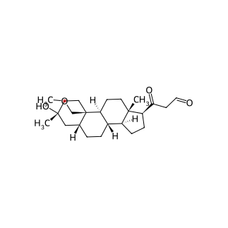 COC[C@]12CC[C@@](C)(O)C[C@H]1CC[C@H]1[C@@H]3CC[C@H](C(=O)CC=O)[C@@]3(C)CC[C@@H]12